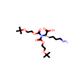 CC(C)(C)OCCOC(=O)N(C(=O)OCCOC(C)(C)C)[C@@H](CCCCN)C(=O)O